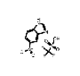 O=S(=O)(O)C(F)(F)F.O=[N+]([O-])c1ccc2[nH]cnc2c1